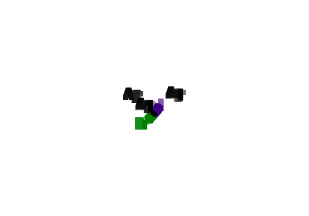 BrI.[Ag].[Ag].[Ag]